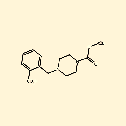 CC(C)(C)OC(=O)N1CCN(Cc2ccccc2C(=O)O)CC1